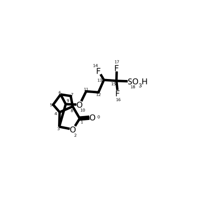 O=C1OC2C3CC(CC13)C2OCCC(F)C(F)(F)S(=O)(=O)O